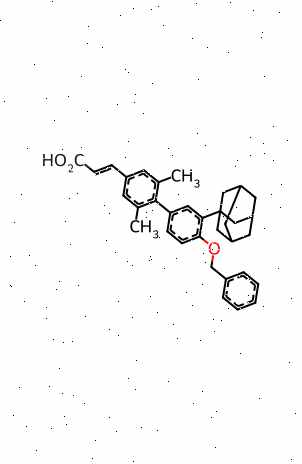 Cc1cc(/C=C/C(=O)O)cc(C)c1-c1ccc(OCc2ccccc2)c(C23CC4CC(CC(C4)C2)C3)c1